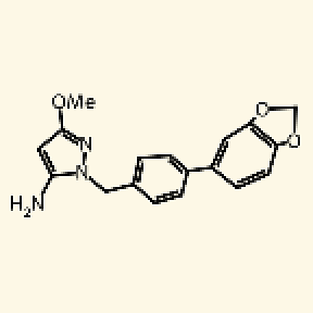 COc1cc(N)n(Cc2ccc(-c3ccc4c(c3)OCO4)cc2)n1